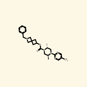 C[C@@H]1CN(c2ncc(C(F)(F)F)cn2)[C@@H](C)CN1C(=O)OC1CC2(C1)CN(Cc1ccccc1)C2